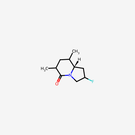 CC1CC(C)[C@@H]2CC(F)CN2C1=O